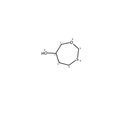 OC1CCSCOC1